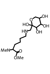 CNC(CCCCNCC1(O)OCC(O)C(O)C1O)C(=O)OC